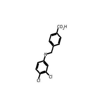 O=C(O)c1ccc(C[N]c2ccc(Cl)c(Cl)c2)cc1